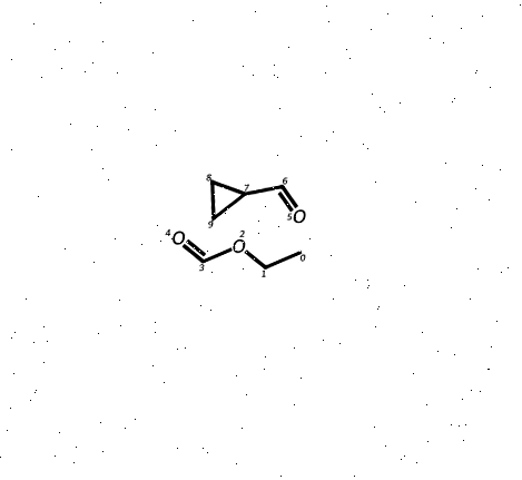 CCOC=O.O=CC1CC1